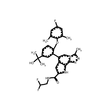 Cc1cc(F)cc(C)c1Oc1ccc(C(C)(C)O)cc1-c1cn2c(C)nnc2c2[nH]c(C(=O)NCC(F)F)cc12